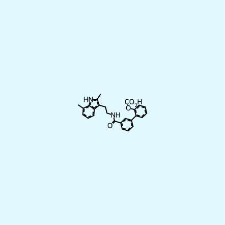 Cc1[nH]c2c(C)cccc2c1CCNC(=O)c1cccc(-c2ccccc2OC(=O)O)c1